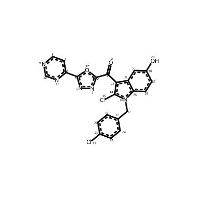 O=C(c1nnc(-c2ccncn2)o1)c1c(Cl)n(Cc2ccc(Cl)cc2)c2ccc(O)cc12